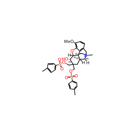 COc1ccc2c3c1O[C@H]1[C@@H](O)C(COS(=O)(=O)c4ccc(C)cc4)(COS(=O)(=O)c4ccc(C)cc4)C[C@H]4[C@@H](C2)N(C)CC[C@@]341